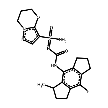 CC1CCc2c(F)c3c(c(NC(=O)N=S(N)(=O)c4cnn5c4OCCC5)c21)CCC3